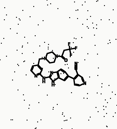 N#Cc1cnccc1-c1ccc2nc(Nc3cc(CN4CCN(C(=O)CC(F)(F)F)CC4)ccn3)[nH]c2c1